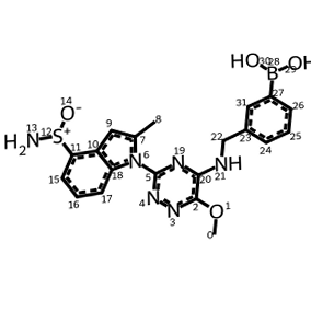 COc1nnc(-n2c(C)cc3c([S+](N)[O-])cccc32)nc1NCc1cccc(B(O)O)c1